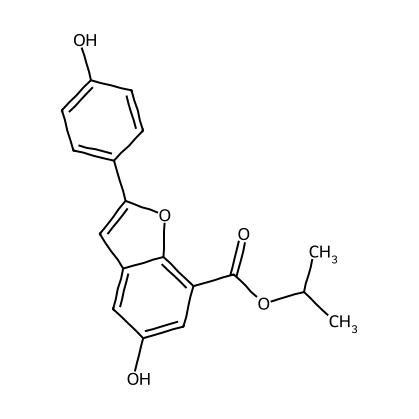 CC(C)OC(=O)c1cc(O)cc2cc(-c3ccc(O)cc3)oc12